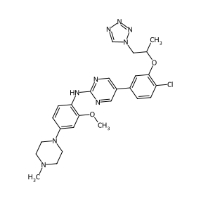 COc1cc(N2CCN(C)CC2)ccc1Nc1ncc(-c2ccc(Cl)c(OC(C)Cn3cnnn3)c2)cn1